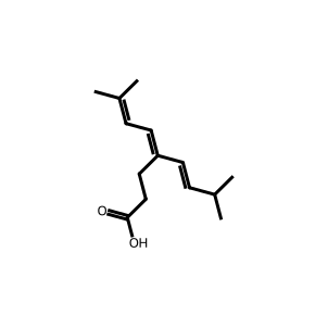 CC(C)=C/C=C(/C=C/C(C)C)CCC(=O)O